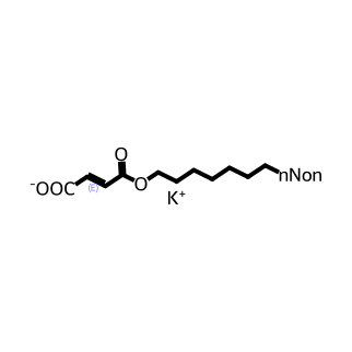 CCCCCCCCCCCCCCCCOC(=O)/C=C/C(=O)[O-].[K+]